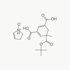 CC(C)(C)OC(=O)C1(C)C=C(C(=O)O)C=C(C(=O)O)C1.[O-][NH+]1C=CCC1